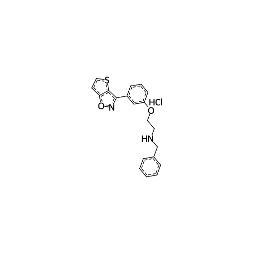 Cl.c1ccc(CNCCOc2cccc(-c3noc4ccsc34)c2)cc1